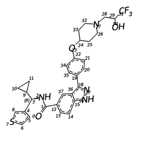 O=C(N[C@@H](c1ccsc1)C1CC1)c1ccc2[nH]nc(-c3ccc(OC4CCN(CC(O)C(F)(F)F)CC4)cc3)c2c1